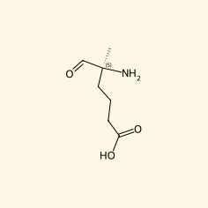 C[C@@](N)(C=O)CCCC(=O)O